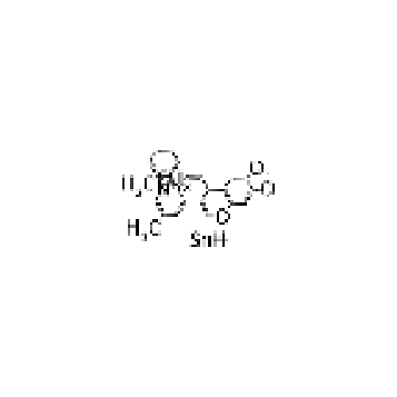 CC1=C[N+](C)(C)C2(c3ccccc3)C=CC3C(=COc4cc5c(cc43)OCO5)C2=C1.[SnH]